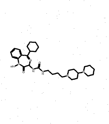 CCCN1C(=O)C(NC(=O)NCCCCN2CCC(N3CCCCC3)CC2)N=C(C2CCCCC2)c2ccccc21